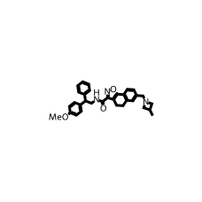 COc1ccc(C(CNC(=O)c2noc3c2CCc2cc(CN4CC(C)C4)ccc2-3)c2ccccc2)cc1